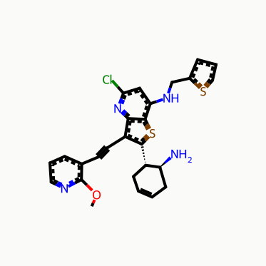 COc1ncccc1C#Cc1c([C@H]2CC=CC[C@@H]2N)sc2c(NCc3cccs3)cc(Cl)nc12